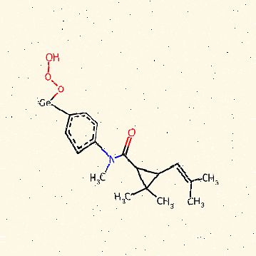 CC(C)=CC1C(C(=O)N(C)c2cc[c]([Ge][O]OO)cc2)C1(C)C